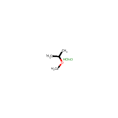 CC(C)[O][GaH2].Cl.Cl